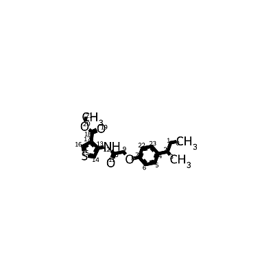 CCC(C)c1ccc(OCC(=O)Nc2cscc2C(=O)OC)cc1